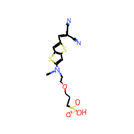 CN(CCOCCCS(=O)(=O)O)c1cc2sc(C=C(C#N)C#N)cc2s1